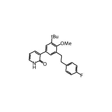 COc1c(CCc2ccc(F)cc2)cc(-c2ccc[nH]c2=O)cc1C(C)(C)C